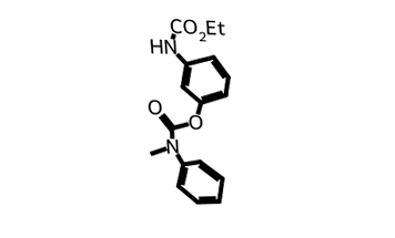 CCOC(=O)Nc1cccc(OC(=O)N(C)c2ccccc2)c1